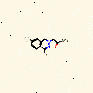 COC(=O)CN1Cc2cc(C(F)(F)F)ccc2C(C(C)C)=N1